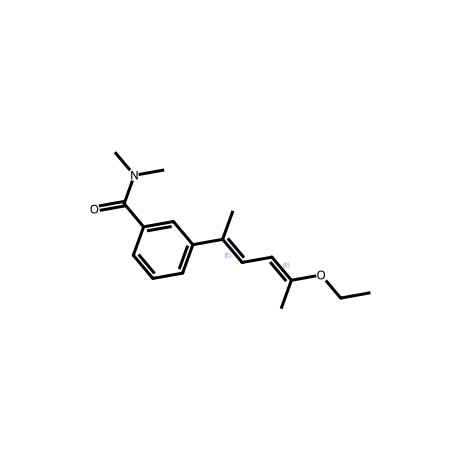 CCO/C(C)=C/C=C(\C)c1cccc(C(=O)N(C)C)c1